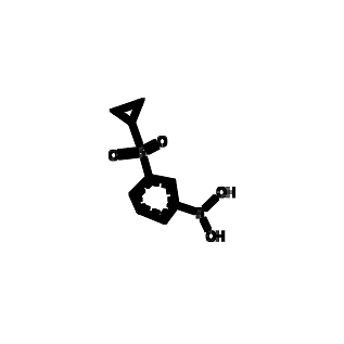 O=S(=O)(c1cccc(B(O)O)c1)C1CC1